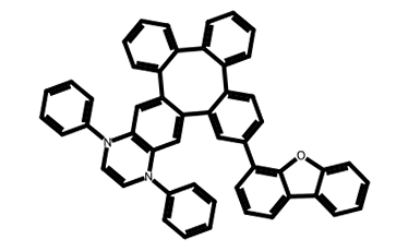 c1ccc(-n2ccn(-c3ccccc3)c3cc4c5cc(-c6cccc7c6oc6ccccc67)ccc5c5ccccc5c5ccccc5c4cc32)cc1